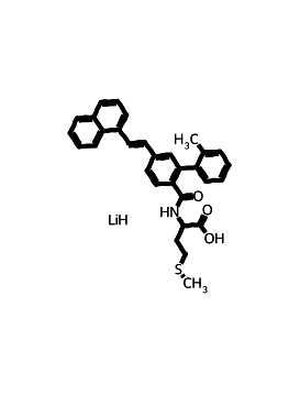 CSCCC(NC(=O)c1ccc(/C=C/c2cccc3ccccc23)cc1-c1ccccc1C)C(=O)O.[LiH]